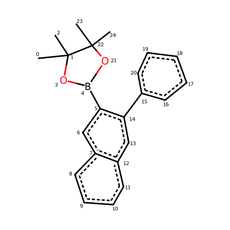 CC1(C)OB(c2cc3ccccc3cc2-c2ccccc2)OC1(C)C